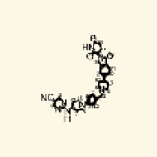 N#Cc1cnc(NC2CCN(c3ccc(CN4CCC(c5ccc6c(c5)CN(C5CCC(=O)NC5=O)C6=O)CC4)cc3)CC2)nc1